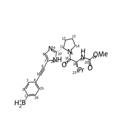 Bc1ccc(C#Cc2cnc([C@@H]3CCCN3C(=O)[C@@H](NC(=O)OC)C(C)C)[nH]2)cc1